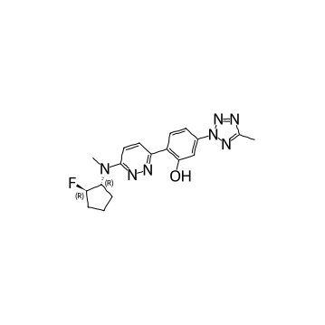 Cc1nnn(-c2ccc(-c3ccc(N(C)[C@@H]4CCC[C@H]4F)nn3)c(O)c2)n1